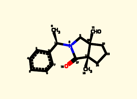 C[C@H](c1ccccc1)N1C[C@]2(C=O)CCC[C@]2(C)C1=O